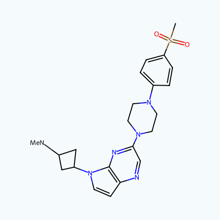 CNC1CC(n2ccc3ncc(N4CCN(c5ccc(S(C)(=O)=O)cc5)CC4)nc32)C1